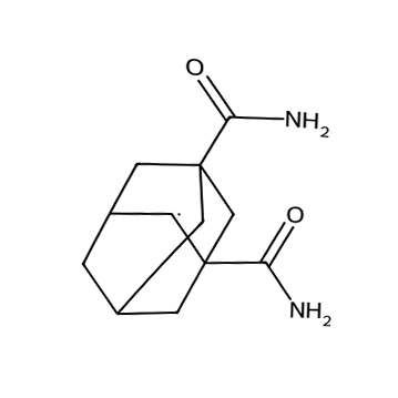 NC(=O)C12[CH]C3CC(C1)CC(C(N)=O)(C3)C2